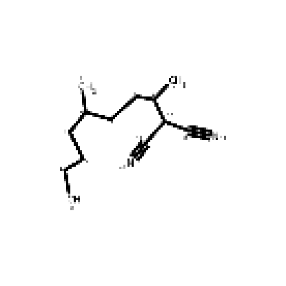 CCCCC(C)CCC(C)C(C#N)C#N